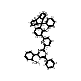 CC1C=CC=CC1c1cc(-c2ccccc2)nc(-c2cccc(-c3cccc4c3Oc3ccccc3C43c4ccccc4-c4ccccc43)n2)n1